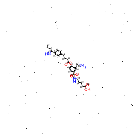 CCCC(=N)c1ccc(CCCC(=O)Oc2ccc(S(=O)(=O)NCCCCC(=O)O)cc2CN)cc1